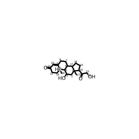 CC12CC(O)C3C(CCC4=CC(=O)CC[PH]43C)C1CCC2C(=O)CO